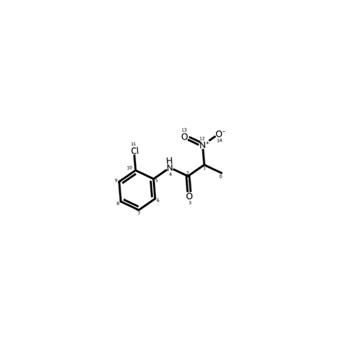 CC(C(=O)Nc1ccccc1Cl)[N+](=O)[O-]